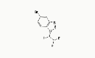 FC(F)C(F)n1cnc2cc(Br)ccc21